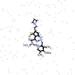 COc1c(C)cnc(Cn2nc3cc(CCN4CCC4)c4c-3c(n2)C(N(C(=O)O)C(C)(C)C)=NSC4)c1C